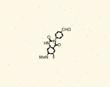 CNc1cc2[nH]c(=O)n(-c3ccc(C=O)cc3)c(=O)c2cc1F